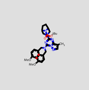 COc1ccc(CN(Cc2ccc(OC)cc2)c2nc(N3CC4CCC(C3)N4C(=O)OC(C)(C)C)nc3c(C)cnn23)cc1